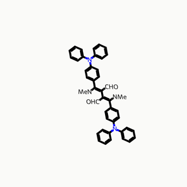 CN/C(=C(C=O)\C(C=O)=C(/NC)c1ccc(N(c2ccccc2)c2ccccc2)cc1)c1ccc(N(c2ccccc2)c2ccccc2)cc1